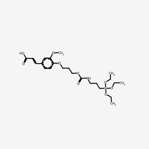 CCO[Si](CCCNC(=O)OCCCOc1ccc(C=CC(=O)O)cc1OC)(OCC)OCC